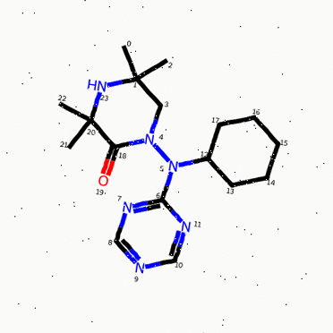 CC1(C)CN(N(c2ncncn2)C2CCCCC2)C(=O)C(C)(C)N1